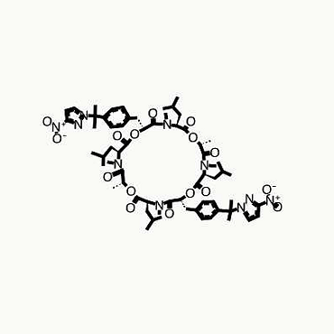 CC(C)C[C@H]1C(=O)O[C@H](Cc2ccc(C(C)(C)n3ccc([N+](=O)[O-])n3)cc2)C(=O)N(C)[C@@H](CC(C)C)C(=O)O[C@H](C)C(=O)N(C)[C@@H](CC(C)C)C(=O)O[C@H](Cc2ccc(C(C)(C)n3ccc([N+](=O)[O-])n3)cc2)C(=O)N(C)[C@@H](CC(C)C)C(=O)O[C@H](C)C(=O)N1C